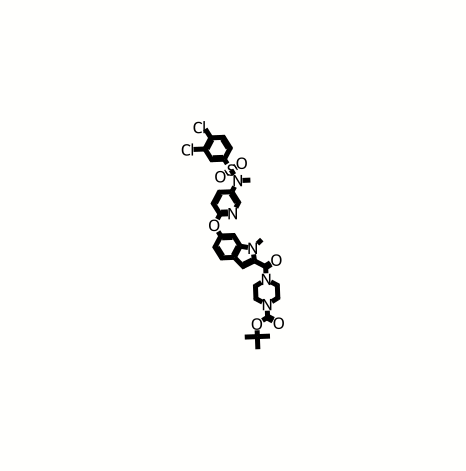 CN(c1ccc(Oc2ccc3cc(C(=O)N4CCN(C(=O)OC(C)(C)C)CC4)n(C)c3c2)nc1)S(=O)(=O)c1ccc(Cl)c(Cl)c1